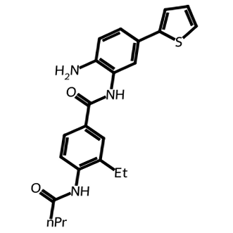 CCCC(=O)Nc1ccc(C(=O)Nc2cc(-c3cccs3)ccc2N)cc1CC